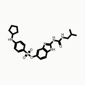 CC(C)CNC(=O)Nc1nc2cc(OS(=O)(=O)c3ccc(NC4CCCC4)cc3)ccc2[nH]1